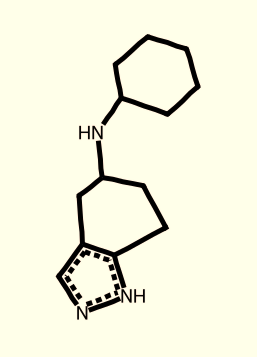 c1n[nH]c2c1CC(NC1CCCCC1)CC2